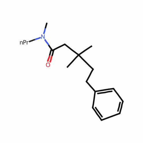 CCCN(C)C(=O)CC(C)(C)CCc1ccccc1